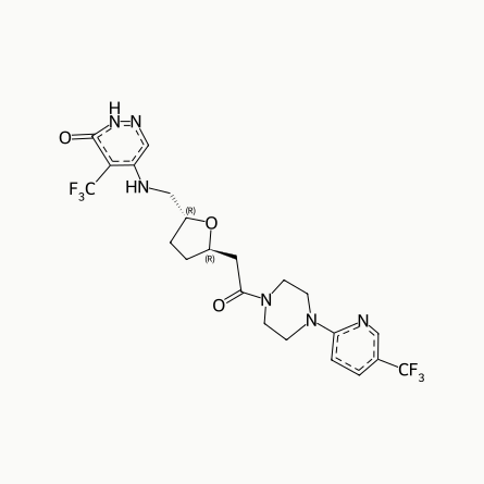 O=C(C[C@H]1CC[C@H](CNc2cn[nH]c(=O)c2C(F)(F)F)O1)N1CCN(c2ccc(C(F)(F)F)cn2)CC1